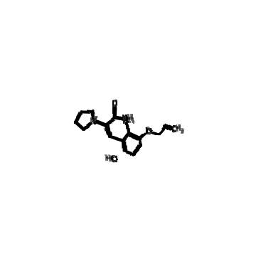 C=CCOc1cccc2cc(N3CCCC3)c(=O)[nH]c12.Cl